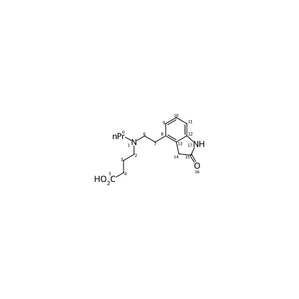 CCCN(CCCC(=O)O)CCc1cccc2c1CC(=O)N2